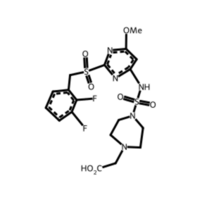 COc1cc(NS(=O)(=O)N2CCN(CC(=O)O)CC2)nc(S(=O)(=O)Cc2cccc(F)c2F)n1